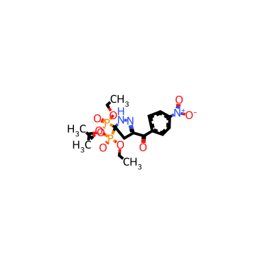 CCOP(=O)(OCC)C1(P(=O)(OCC)OCC)CC(C(=O)c2ccc([N+](=O)[O-])cc2)=NN1